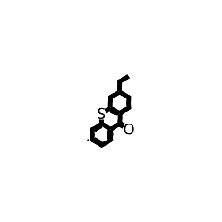 CCC1CCc2c(sc3c[c]ccc3c2=O)C1